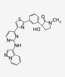 CN1CC[C@@](O)(c2cccc(-c3nc(-c4ccnc(Nc5cnn6ccccc56)n4)cs3)c2)C1=O